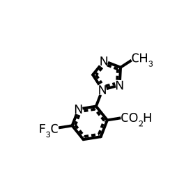 Cc1ncn(-c2nc(C(F)(F)F)ccc2C(=O)O)n1